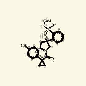 CC(C)(C)NS(=O)(=O)c1ccccc1C1(O)CCN(C(=O)C2(c3ccc(Cl)cc3)CC2)C1